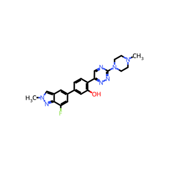 CN1CCN(c2ncc(-c3ccc(-c4cc(F)c5nn(C)cc5c4)cc3O)nn2)CC1